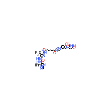 CC(C)c1c(NC(=O)Nc2cnc(-c3noc(CCCCCC(=O)N4CCN(c5ccc6c(c5)CN(C5CCC(=O)NC5=O)C6=O)CC4)n3)c(C(F)(F)F)c2)cnc2ccnn12